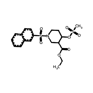 CCOC(=O)C1CN(S(=O)(=O)c2ccc3ccccc3c2)CCC1OS(C)(=O)=O